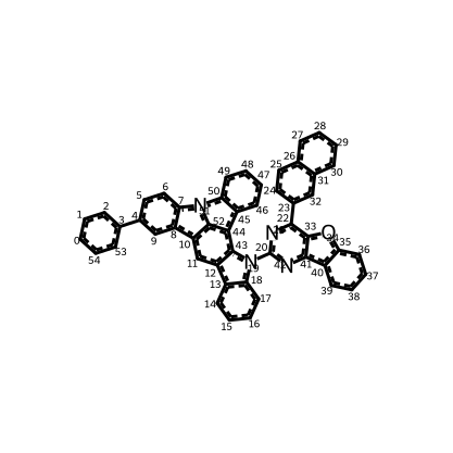 c1ccc(-c2ccc3c(c2)c2cc4c5ccccc5n(-c5nc(-c6ccc7ccccc7c6)c6oc7ccccc7c6n5)c4c4c5ccccc5n3c24)cc1